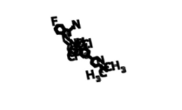 CC[C@@H](Cn1cc(C#N)c2cc(F)ccc21)NS(=O)(=O)c1c(Cl)cc(-c2ccc(N(C)C)nc2)cc1Cl